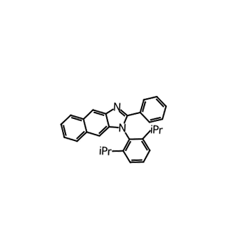 CC(C)c1cccc(C(C)C)c1-n1c(-c2ccccc2)nc2cc3ccccc3cc21